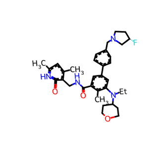 CCN(c1cc(-c2ccc(CN3CC[C@H](F)C3)cc2)cc(C(=O)NCc2c(C)cc(C)[nH]c2=O)c1C)C1CCOCC1